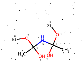 CCOC(C)(O)NC(C)(O)OCC